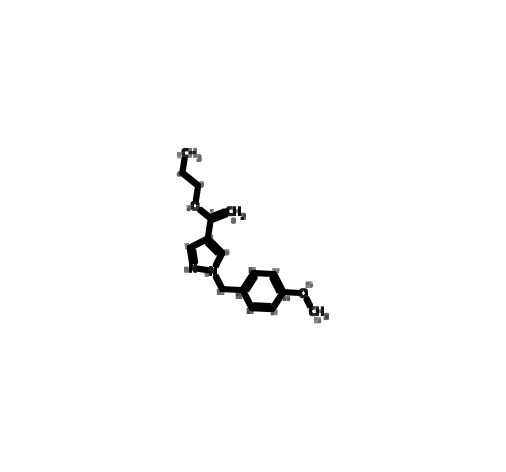 C=C(OCCC)c1cnn(Cc2ccc(OC)cc2)c1